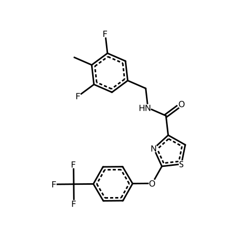 Cc1c(F)cc(CNC(=O)c2csc(Oc3ccc(C(F)(F)F)cc3)n2)cc1F